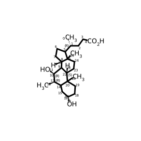 C[C@H](CCC(=O)O)C1CC[C@H]2C3[C@H](O)[C@H](C)C4C[C@H](O)CCC4(C)[C@H]3CCC12C